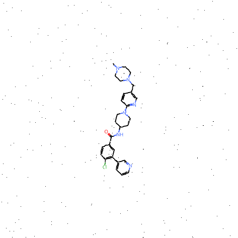 CN1CCN(Cc2ccc(N3CCC(NC(=O)c4ccc(Cl)c(-c5cccnc5)c4)CC3)nc2)CC1